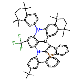 CC(C)(C)c1ccc(N2c3cc(C(F)(F)F)cc4c3B(c3cc5c(cc3N4c3ccc4c(c3)C(C)(C)CCC4(C)C)C(C)(C)CCC5(C)C)c3c2sc2ccccc32)c(-c2ccccc2)c1